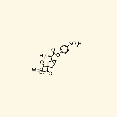 C=C(C(=O)Oc1ccc(S(=O)(=O)O)cc1)C12CC1CC(C(=O)CC)(C(=O)OC)C2